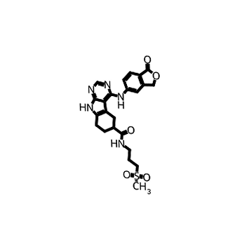 CS(=O)(=O)CCCNC(=O)C1CCc2[nH]c3ncnc(Nc4ccc5c(c4)COC5=O)c3c2C1